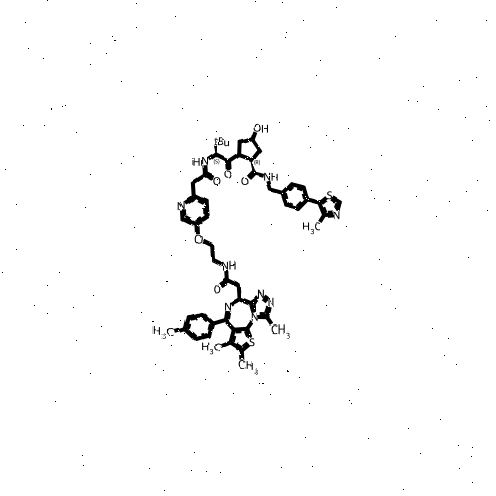 Cc1ccc(C2=NC(CC(=O)NCCOc3ccc(CC(=O)N[C@H](C(=O)C4CC(O)C[C@H]4C(=O)NCc4ccc(-c5scnc5C)cc4)C(C)(C)C)nc3)c3nnc(C)n3-c3sc(C)c(C)c32)cc1